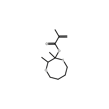 C=C(C)C(=O)OC1(C)SCCCCOC1C